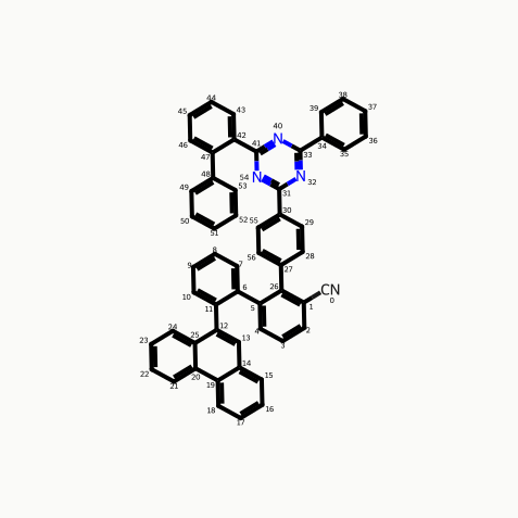 N#Cc1cccc(-c2ccccc2-c2cc3ccccc3c3ccccc23)c1-c1ccc(-c2nc(-c3ccccc3)nc(-c3ccccc3-c3ccccc3)n2)cc1